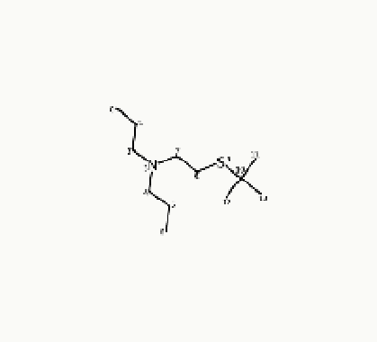 CCCN(CCC)CCSC(C)(C)C